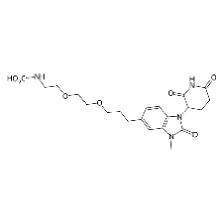 Cn1c(=O)n(C2CCC(=O)NC2=O)c2ccc(CCCOCCOCCNC(=O)O)cc21